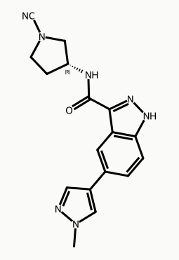 Cn1cc(-c2ccc3[nH]nc(C(=O)N[C@@H]4CCN(C#N)C4)c3c2)cn1